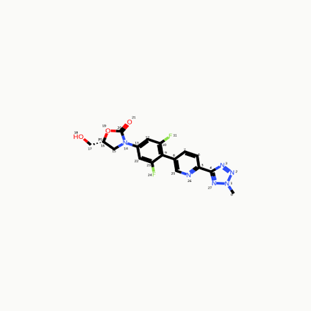 Cn1nnc(-c2ccc(-c3c(F)cc(N4C[C@H](CO)OC4=O)cc3F)cn2)n1